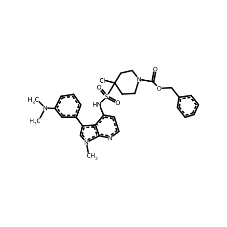 CN(C)c1cccc(-c2cn(C)c3nccc(NS(=O)(=O)C4(Cl)CCN(C(=O)OCc5ccccc5)CC4)c23)c1